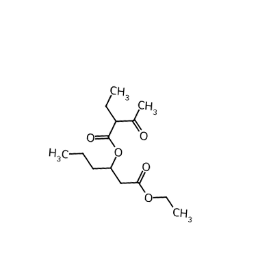 CCCC(CC(=O)OCC)OC(=O)C(CC)C(C)=O